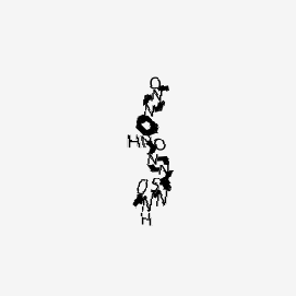 CC(=O)Nc1ncc(CN2CCN(CC(=O)Nc3ccc(N4CCN(C(C)=O)CC4)cc3)CC2)s1